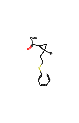 COC(=O)C1CC1(CCSc1ccccc1)C(C)C